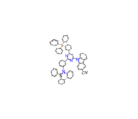 N#Cc1ccc2c(c1)c1ccccc1n2-c1cc(-c2cccc(S(c3ccccc3)(c3ccccc3)c3ccccc3)c2)nc(-c2cccc(N3B(c4ccccc4)c4ccccc4-c4ccccc43)c2)n1